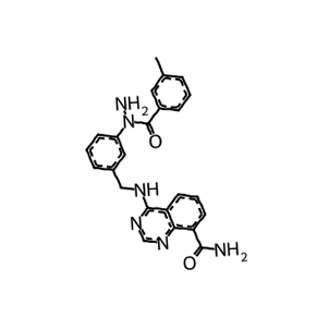 Cc1cccc(C(=O)N(N)c2cccc(CNc3ncnc4c(C(N)=O)cccc34)c2)c1